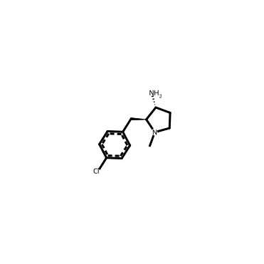 CN1CC[C@@H](N)[C@@H]1Cc1ccc(Cl)cc1